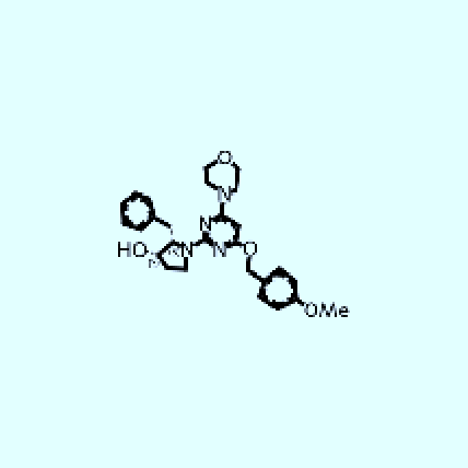 COc1ccc(COc2cc(N3CCOCC3)nc(N3CC[C@H](O)[C@@H]3Cc3ccccc3)n2)cc1